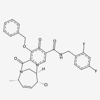 C[C@H]1C=C[C@@H](Cl)[C@H]2CN1C(=O)c1c(OCc3ccccc3)c(=O)c(C(=O)NCc3ccc(F)cc3F)cn12